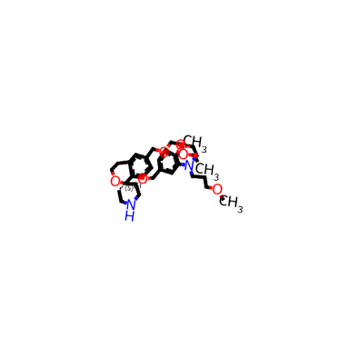 CCO[C@H](C)COCc1ccc2c(c1)CCO[C@@]21CCNC[C@@H]1OCc1ccc2c(c1)N(CCCOC)CCO2